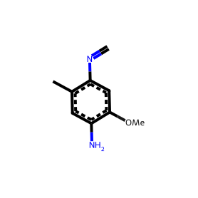 C=Nc1cc(OC)c(N)cc1C